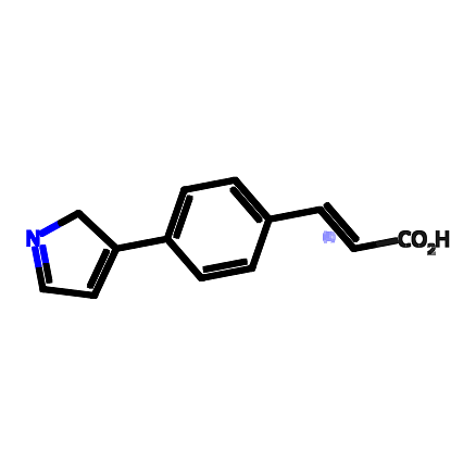 O=C(O)/C=C/c1ccc(C2=CC=NC2)cc1